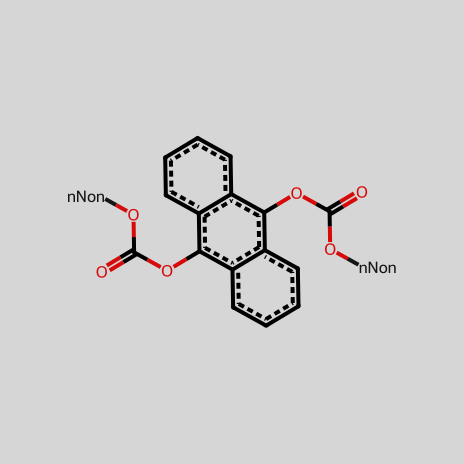 CCCCCCCCCOC(=O)Oc1c2ccccc2c(OC(=O)OCCCCCCCCC)c2ccccc12